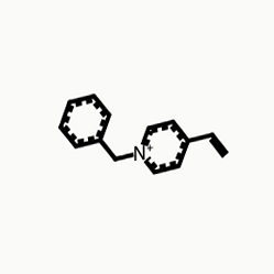 C=Cc1cc[n+](Cc2ccccc2)cc1